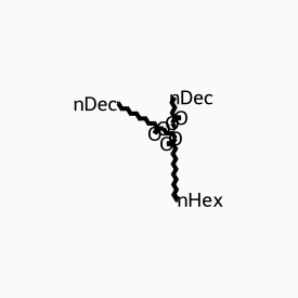 CCCCCC/C=C\CCCCCCCCCC(=O)O[C@@H](COC(=O)CCCCCCCCCCCCC)COC(=O)CCCCCCCCCCCCCCCCCCC